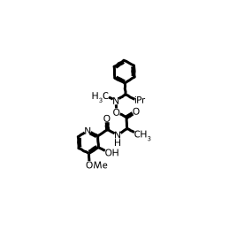 COc1ccnc(C(=O)NC(C)C(=O)ON(C)C(c2ccccc2)C(C)C)c1O